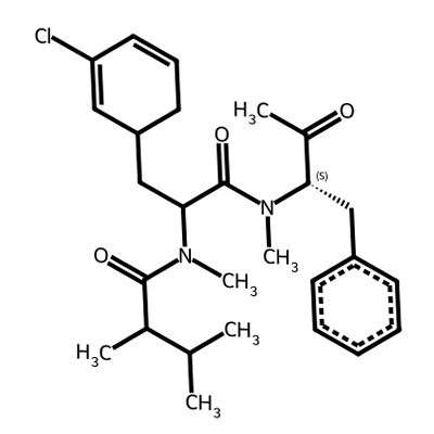 CC(=O)[C@H](Cc1ccccc1)N(C)C(=O)C(CC1C=C(Cl)C=CC1)N(C)C(=O)C(C)C(C)C